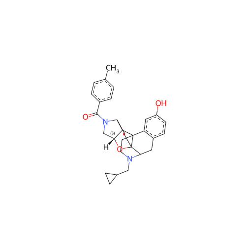 Cc1ccc(C(=O)N2C[C@H]3OC45CCC2C3C42CCN(CC3CC3)C5Cc3ccc(O)cc32)cc1